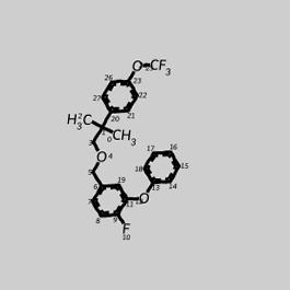 CC(C)(COCc1ccc(F)c(Oc2ccccc2)c1)c1ccc(OC(F)(F)F)cc1